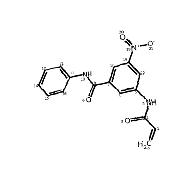 C=CC(=O)Nc1cc(C(=O)Nc2ccccc2)cc([N+](=O)[O-])c1